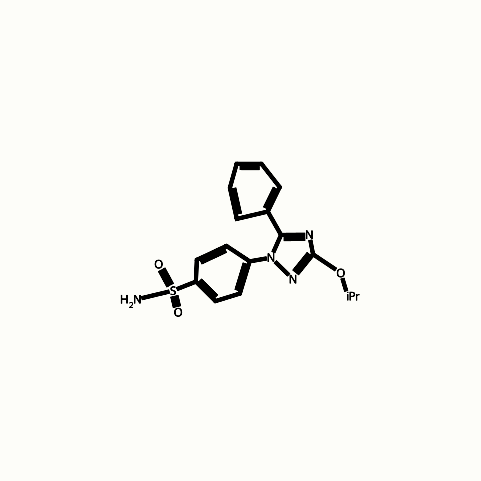 CC(C)Oc1nc(-c2ccccc2)n(-c2ccc(S(N)(=O)=O)cc2)n1